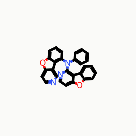 c1ccc(N(c2cccc3oc4ccncc4c23)c2nccc3oc4ccccc4c23)cc1